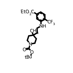 CCOC(=O)c1ccc(C(F)(F)F)c(NCCC2(C)CCN(C(=O)OC(C)(C)C)CC2)c1